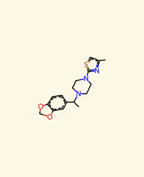 Cc1csc(N2CCN(C(C)c3ccc4c(c3)OCO4)CC2)n1